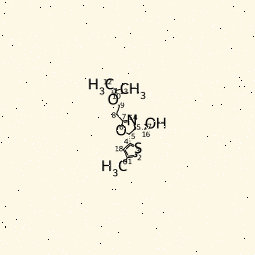 Cc1csc([C@@H]2OC(CCOC(C)C)=N[C@@H]2CO)c1